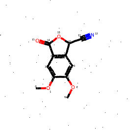 COc1cc2c(cc1OC)C(C#N)OC2=O